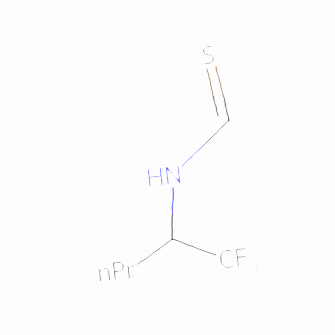 CCCC(NC=S)C(F)(F)F